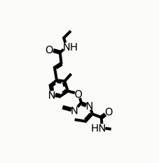 C=N/C(=N\C(=C/C)C(=O)NC)Oc1cncc(/C=C/C(=O)NCC)c1C